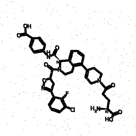 N[C@@H](CCC(=O)N1CC=C(c2cccc3c2CCN(C(=O)C2CC(c4cccc(Cl)c4F)=NO2)[C@@H]3C(=O)Nc2ccc(C(=O)O)cc2)CC1)C(=O)O